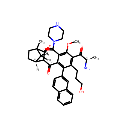 COc1c(C(=O)[C@H](C)N)c(CCCO)c(-c2ccc3ccccc3c2)c(C(=O)C2C(=O)C3(C)CC[C@H]2C3(C)C)c1C(=O)N1CCNCC1